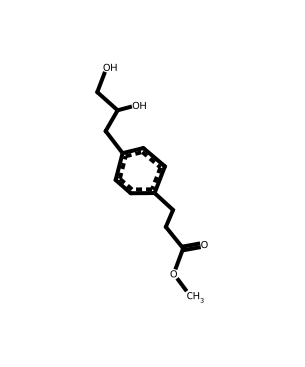 COC(=O)CCc1ccc(CC(O)CO)cc1